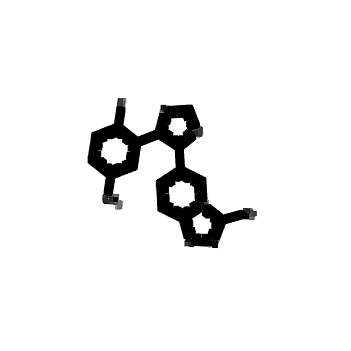 Cc1ccc(F)c(-c2ncoc2-c2ccc3nnc(C(C)C)n3c2)c1